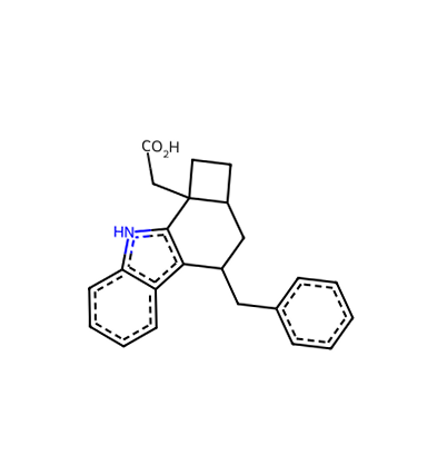 O=C(O)CC12CCC1CC(Cc1ccccc1)c1c2[nH]c2ccccc12